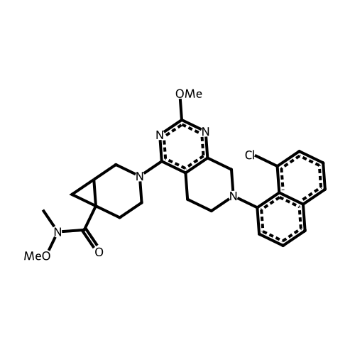 COc1nc2c(c(N3CCC4(C(=O)N(C)OC)CC4C3)n1)CCN(c1cccc3cccc(Cl)c13)C2